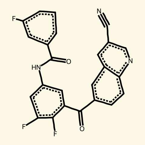 N#Cc1cnc2ccc(C(=O)c3cc(NC(=O)c4cccc(F)c4)cc(F)c3F)cc2c1